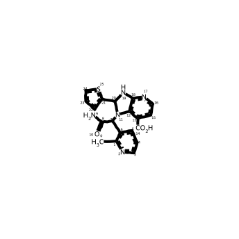 Cc1ncccc1C(C(N)=O)N1c2c(C(=O)O)ccnc2NC1c1cccs1